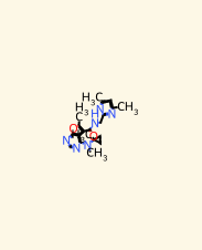 Cc1cc(C)nc(CNC(=O)c2c(C)oc3ncnc(N(C)C4(C)CC4)c23)n1